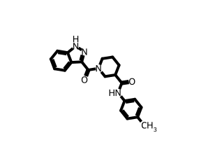 Cc1ccc(NC(=O)C2CCCN(C(=O)c3n[nH]c4ccccc34)C2)cc1